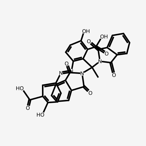 CC(c1c(N=Nc2ccc(O)c(C(=O)O)c2)ccc(O)c1C(=O)O)(N1C(=O)c2ccccc2C1=O)N1C(=O)c2ccccc2C1=O